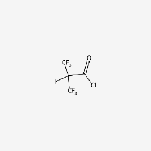 O=C(Cl)C(I)(C(F)(F)F)C(F)(F)F